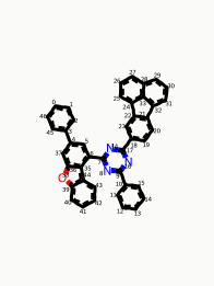 c1ccc(-c2cc(-c3nc(-c4ccccc4)nc(-c4ccc5c(c4)-c4cccc6cccc-5c46)n3)c3c(c2)oc2ccccc23)cc1